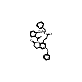 COc1ccccc1C(=O)N1C(=O)CCc2cc(Oc3ccccc3)cc(CCC(=O)OCc3ccccc3)c21